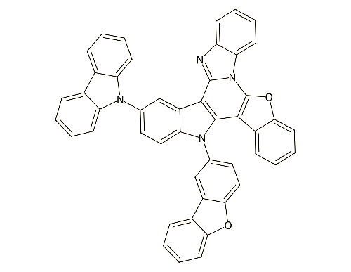 c1ccc2c(c1)nc1c3c4cc(-n5c6ccccc6c6ccccc65)ccc4n(-c4ccc5oc6ccccc6c5c4)c3c3c4ccccc4oc3n21